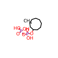 C.O=P(O)(O)OP(=O)(O)OC1CCCCCCCC1